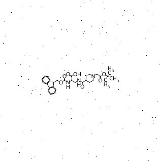 CC(C)(C)OC(=O)CN1CCC(C(=O)NC[C@@H](NC(=O)OCC2c3ccccc3-c3ccccc32)C(=O)O)CC1